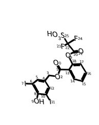 O=C(OCc1cc(I)c(O)c(I)c1)c1ccccc1OC(=O)C(F)(F)S(=O)(=O)O